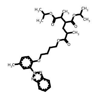 Cc1ccc(OCCCCOC(=O)C(C)CC(C(=O)OC(C)C)C(C)C(=O)OC(C)C)c(-n2nc3ccccc3n2)c1